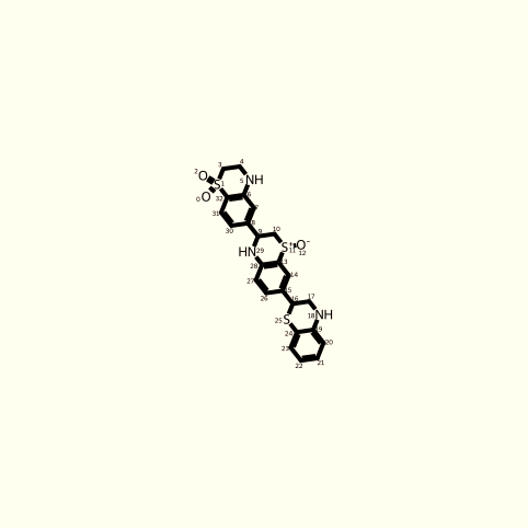 O=S1(=O)CCNc2cc(C3C[S+]([O-])c4cc(C5CNc6ccccc6S5)ccc4N3)ccc21